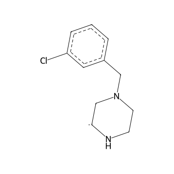 Clc1cccc(CN2C[CH]NCC2)c1